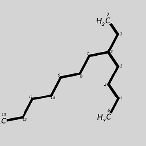 [CH2]CC(CCCC)CCCCCCC